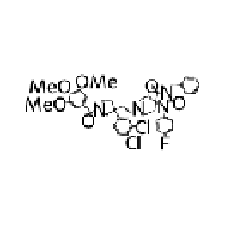 COc1cc(C(=O)N2CCC(CCN3CCC4(CC3)C(=O)N(Cc3ccccc3)C(=O)N4c3ccc(F)cc3)(c3ccc(Cl)c(Cl)c3)C2)cc(OC)c1OC